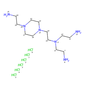 Cl.Cl.Cl.Cl.Cl.Cl.NCCN(CCN)CCN1CCN(CCN)CC1